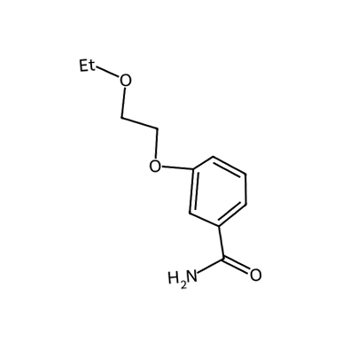 CCOCCOc1cccc(C(N)=O)c1